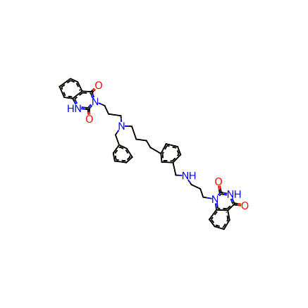 O=c1[nH]c(=O)n(CCCNCc2cccc(CCCCN(CCCn3c(=O)[nH]c4ccccc4c3=O)Cc3ccccc3)c2)c2ccccc12